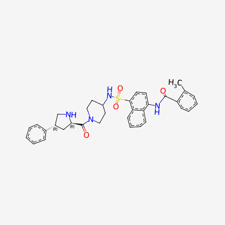 Cc1ccccc1C(=O)Nc1ccc(S(=O)(=O)NC2CCN(C(=O)[C@H]3C[C@H](c4ccccc4)CN3)CC2)c2ccccc12